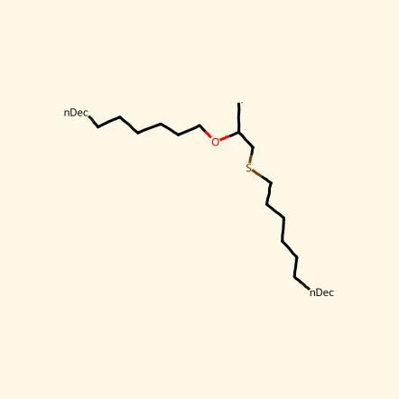 [CH2]C(CSCCCCCCCCCCCCCCCC)OCCCCCCCCCCCCCCCC